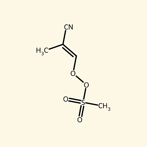 CC(C#N)=COOS(C)(=O)=O